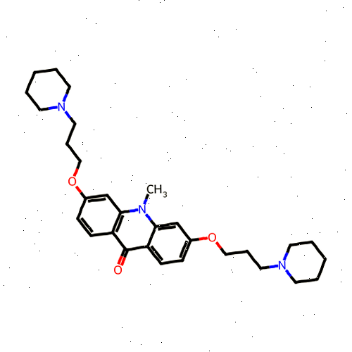 Cn1c2cc(OCCCN3CCCCC3)ccc2c(=O)c2ccc(OCCCN3CCCCC3)cc21